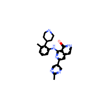 Cc1ncc(-c2cc3cc[nH]c(=O)c3c(Nc3cccc(C)c3C3CC[N]CC3)n2)cn1